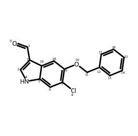 O=Cc1c[nH]c2cc(Cl)c(OCc3ccccc3)cc12